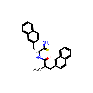 CN[C@H](Cc1ccc2ccccc2c1)C(=O)N[C@H](Cc1ccc2ccccc2c1)C(N)=S